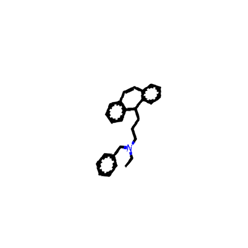 CCN(CCCC1c2ccccc2C=Cc2ccccc21)Cc1ccccc1